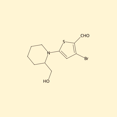 O=Cc1sc(N2CCCCC2CO)cc1Br